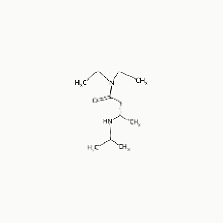 CCN(CC)C(=O)CC(C)NC(C)C